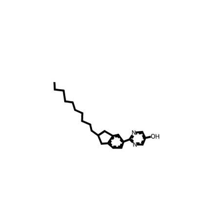 CCCCCCCCCCC1Cc2ccc(-c3ncc(O)cn3)cc2C1